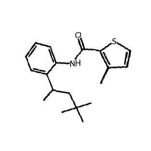 Cc1ccsc1C(=O)Nc1ccccc1C(C)CC(C)(C)C